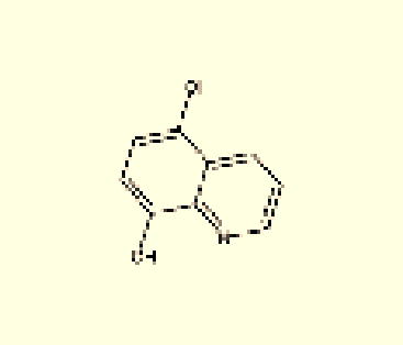 Oc1ccc(O)c2ncccc12